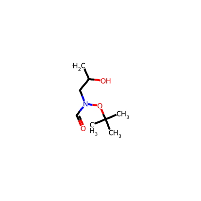 [CH2]C(O)CN(C=O)OC(C)(C)C